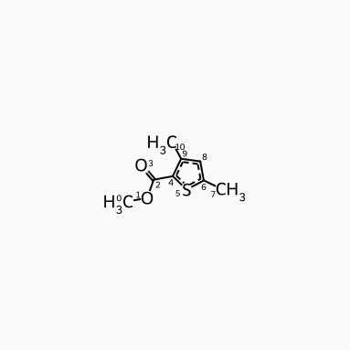 COC(=O)c1sc(C)cc1C